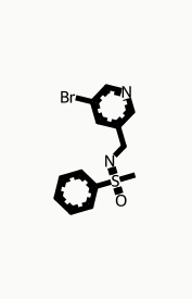 CS(=O)(=NCc1cncc(Br)c1)c1ccccc1